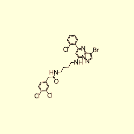 O=C(Cc1ccc(Cl)c(Cl)c1)NCCCCNc1cc(-c2ccccc2Cl)nc2c(Br)cnn12